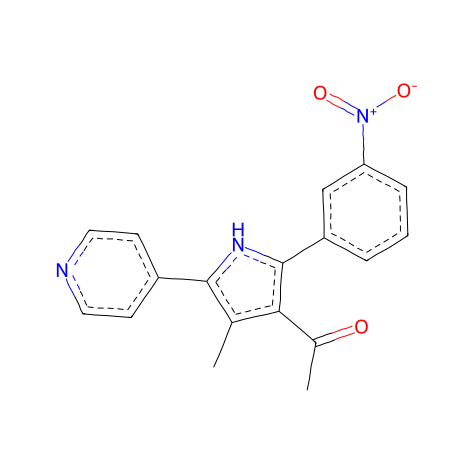 CC(=O)c1c(-c2cccc([N+](=O)[O-])c2)[nH]c(-c2ccncc2)c1C